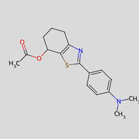 CC(=O)OC1CCCc2nc(-c3ccc(N(C)C)cc3)sc21